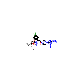 CC(C)(C)OC(=O)NC(CC(=O)N1CCN(c2nc(N)n[nH]2)CC1)c1ccc(Cl)cc1